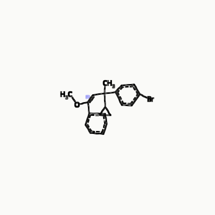 CO/C(=C/C(C)(c1ccc(Br)cc1)C1CC1)c1ccccc1